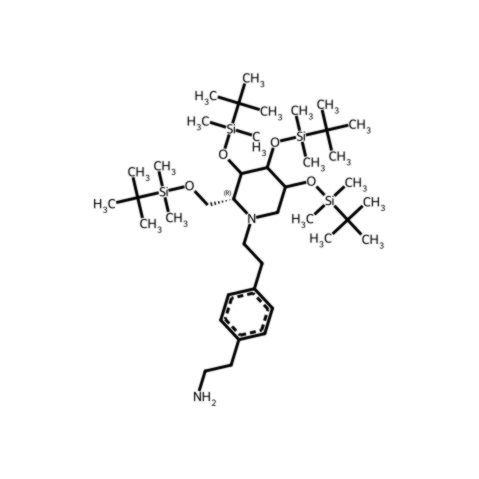 CC(C)(C)[Si](C)(C)OC[C@@H]1C(O[Si](C)(C)C(C)(C)C)C(O[Si](C)(C)C(C)(C)C)C(O[Si](C)(C)C(C)(C)C)CN1CCc1ccc(CCN)cc1